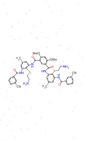 COc1cc(OC)c(C(=O)Nc2cc(C(F)(F)F)cc(NC(=O)c3cccc(C#N)c3)c2SCCN)cc1C(=O)Nc1cc(C(F)(F)F)cc(NC(=O)c2cccc(C#N)c2)c1SCCN